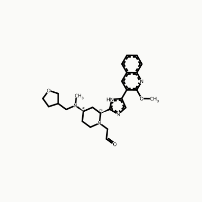 COc1nc2ccccc2cc1-c1cnc([C@@H]2C[C@H](N(C)CC3CCOC3)CCN2CC=O)[nH]1